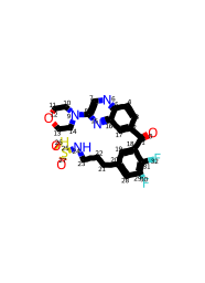 O=C(c1ccc2ncc(N3CCOCC3)nc2c1)c1cc(CCCN[SH](=O)=O)cc(F)c1F